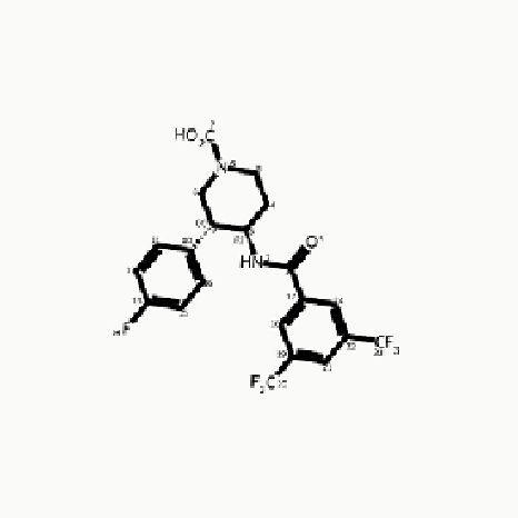 O=C(N[C@@H]1CCN(C(=O)O)C[C@H]1c1ccc(F)cc1)c1cc(C(F)(F)F)cc(C(F)(F)F)c1